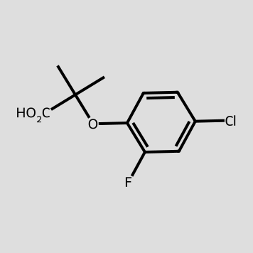 CC(C)(Oc1ccc(Cl)cc1F)C(=O)O